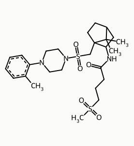 Cc1ccccc1N1CCN(S(=O)(=O)CC23CCC(CC2NC(=O)CCCS(C)(=O)=O)C3(C)C)CC1